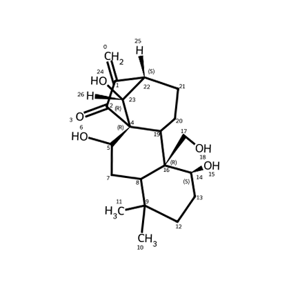 C=C1C(=O)[C@@]23C(O)CC4C(C)(C)CC[C@H](O)[C@@]4(CO)C2CC[C@@H]1[C@H]3O